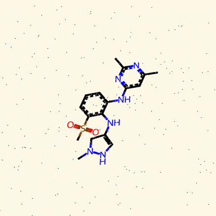 Cc1cc(Nc2cccc(S(C)(=O)=O)c2NC2=CNN(C)C2)nc(C)n1